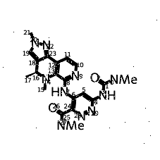 CNC(=O)Nc1cc(Nc2nccc3c2N(C)[C@@H](C)c2cn(C)nc2-3)c(C(=O)NC)nn1